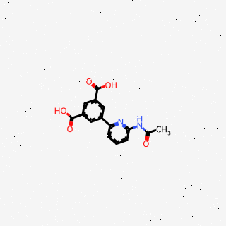 CC(=O)Nc1cccc(-c2cc(C(=O)O)cc(C(=O)O)c2)n1